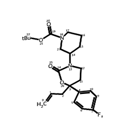 C=CCC1(c2ccc(F)cc2)CCN(C2CCCN(C(=O)OC(C)(C)C)C2)C(=O)O1